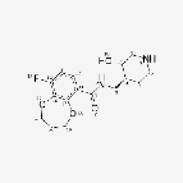 O=C(NC[C@@H]1CCNC[C@H]1O)c1ccc(F)c2c1OCCCO2